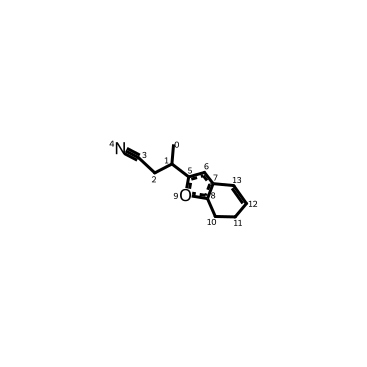 CC(CC#N)c1cc2c(o1)CCC=C2